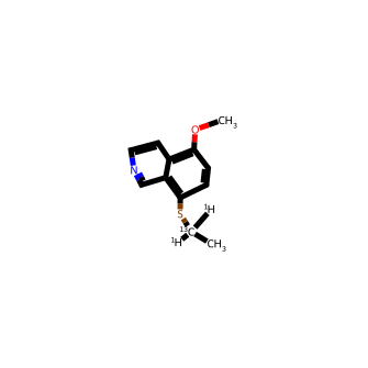 [1H][13C]([1H])(C)Sc1ccc(OC)c2ccncc12